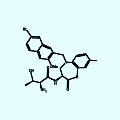 COc1cc2ccc(Br)cc2cc1CN1C[C@H](NC(=O)[C@@H](N)[C@@H](C)O)C(=O)Oc2cc(C)ccc21